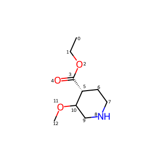 CCOC(=O)[C@@H]1CCNCC1OC